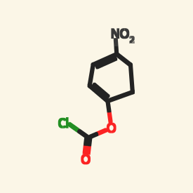 O=C(Cl)OC1=CC=C([N+](=O)[O-])CC1